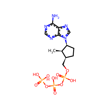 C[C@@H]1[C@H](COP(=O)(O)OP(=O)(O)OP(=O)(O)O)CC[C@@H]1n1cnc2c(N)ncnc21